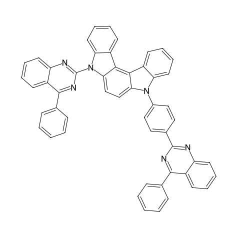 c1ccc(-c2nc(-c3ccc(-n4c5ccccc5c5c6c7ccccc7n(-c7nc(-c8ccccc8)c8ccccc8n7)c6ccc54)cc3)nc3ccccc23)cc1